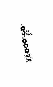 C=N/C=N\N(C)C[C@]1(c2ccc(F)cc2F)C[C@H](COc2ccc(N3CCN(C4C=CC(n5cnn(NC(CC)C(C)O)c5=O)=CC4)CC3)cc2)CO1